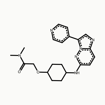 CN(C)C(=O)COC1CCC(Nc2ccc3ncc(-c4ccncc4)n3n2)CC1